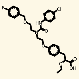 CCOC(Cc1ccc(OCCN(CCOCc2ccc(F)cc2)C(=O)Nc2ccc(Cl)cc2)cc1)C(=O)O